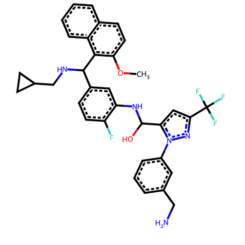 COc1ccc2ccccc2c1C(NCC1CC1)c1ccc(F)c(NC(O)c2cc(C(F)(F)F)nn2-c2cccc(CN)c2)c1